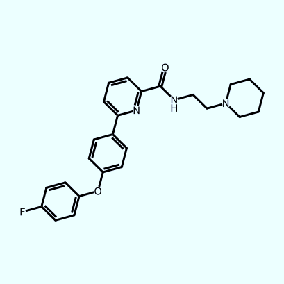 O=C(NCCN1CCCCC1)c1cccc(-c2ccc(Oc3ccc(F)cc3)cc2)n1